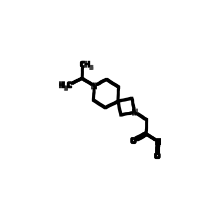 CC(C)N1CCC2(CC1)CN(CC(=O)N=O)C2